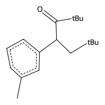 Cc1cccc(C(CC(C)(C)C)C(=O)C(C)(C)C)c1